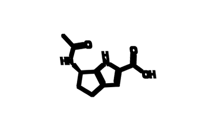 CC(=O)N[C@@H]1CCc2cc(C(=O)O)[nH]c21